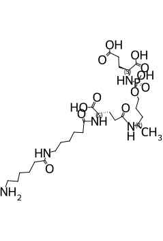 C[C@H](CCCOP(=O)(O)N[C@@H](CCC(=O)O)C(=O)O)NC(=O)CC[C@H](NC(=O)CCCCCNC(=O)CCCCCN)C(=O)O